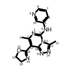 Cc1nc(Nc2cccnc2)n2c(C)nnc2c1C1=NCCO1